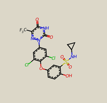 O=c1[nH]c(=O)n(-c2cc(Cl)c(Oc3ccc(O)c(S(=O)(=O)NC4CC4)c3)c(Cl)c2)nc1C(F)(F)F